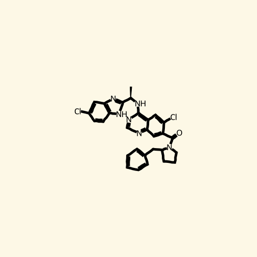 C[C@@H](Nc1ncnc2cc(C(=O)N3CCCC3Cc3ccccc3)c(Cl)cc12)c1nc2cc(Cl)ccc2[nH]1